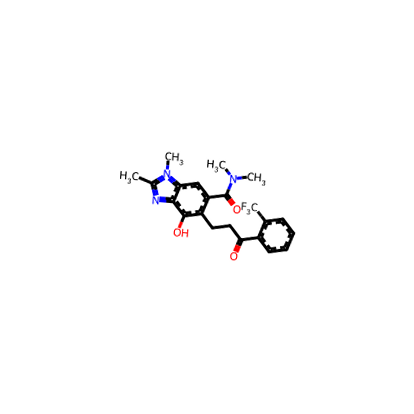 Cc1nc2c(O)c(CCC(=O)c3ccccc3C(F)(F)F)c(C(=O)N(C)C)cc2n1C